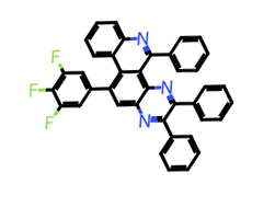 Fc1cc(-c2cc3nc(-c4ccccc4)c(-c4ccccc4)nc3c3c(-c4ccccc4)nc4ccccc4c23)cc(F)c1F